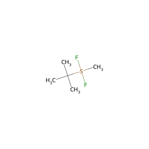 CC(C)(C)S(C)(F)F